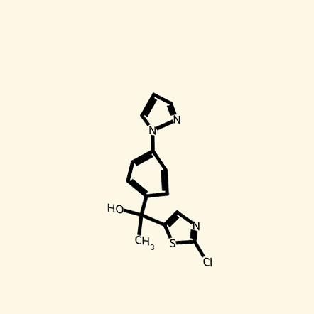 CC(O)(c1ccc(-n2cccn2)cc1)c1cnc(Cl)s1